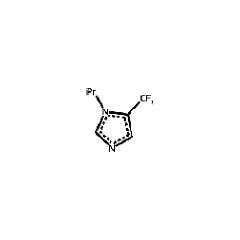 CC(C)n1cncc1C(F)(F)F